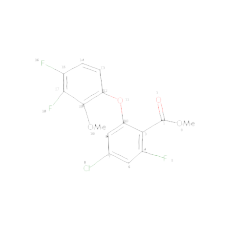 COC(=O)c1c(F)cc(Cl)cc1Oc1ccc(F)c(F)c1OC